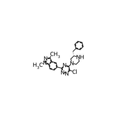 Cc1nn(C)c2ccc(-c3nnc(Cl)c(N4CCN[C@@H](Cc5ccccc5)C4)n3)cc12